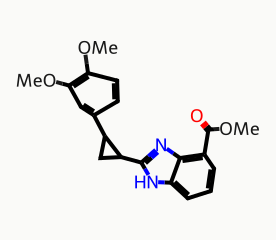 COC(=O)c1cccc2[nH]c(C3CC3c3ccc(OC)c(OC)c3)nc12